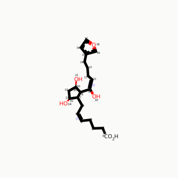 O=C(O)CCC/C=C\CC1C(/C(O)=C\CCCc2ccoc2)[C@H](O)C[C@@H]1O